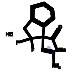 COC(=O)C1(/N=N/N)c2ccccc2CC1(F)F.Cl